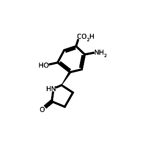 Nc1cc([C@H]2CCC(=O)N2)c(O)cc1C(=O)O